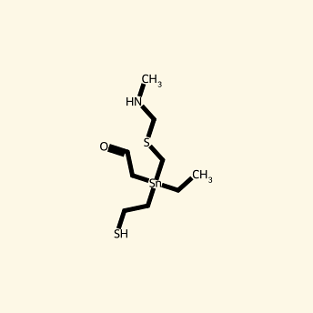 C[CH2][Sn]([CH2]C=O)([CH2]CS)[CH2]SCNC